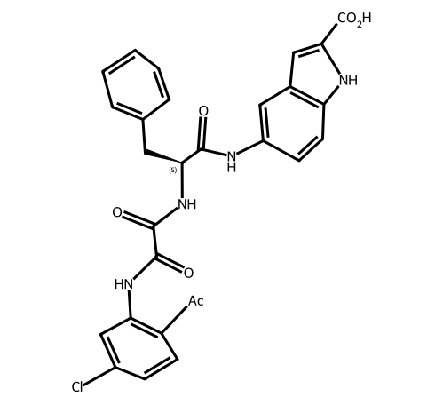 CC(=O)c1ccc(Cl)cc1NC(=O)C(=O)N[C@@H](Cc1ccccc1)C(=O)Nc1ccc2[nH]c(C(=O)O)cc2c1